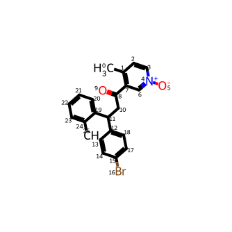 Cc1cc[n+]([O-])cc1C(=O)CC(c1ccc(Br)cc1)c1ccccc1C